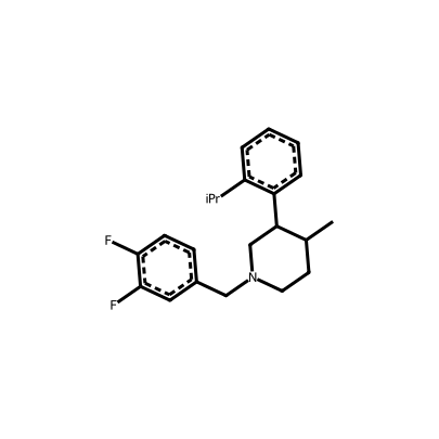 CC(C)c1ccccc1C1CN(Cc2ccc(F)c(F)c2)CCC1C